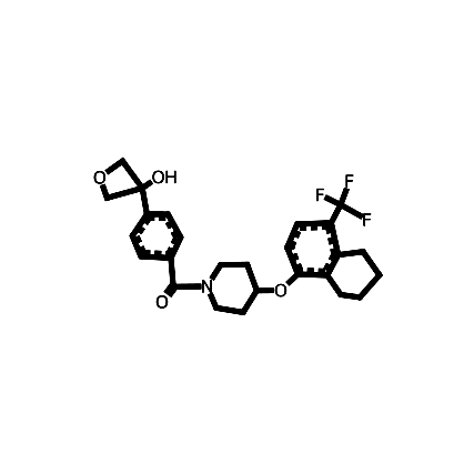 O=C(c1ccc(C2(O)COC2)cc1)N1CCC(Oc2ccc(C(F)(F)F)c3c2CCCC3)CC1